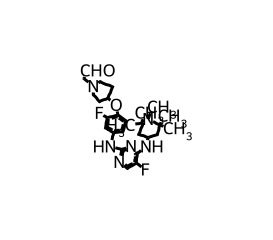 CN1C(C)(C)CC(Nc2nc(Nc3ccc(OC4CCN(CC=O)CC4)c(F)c3)ncc2F)CC1(C)C